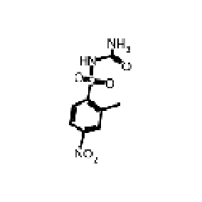 Cc1cc([N+](=O)[O-])ccc1S(=O)(=O)NC(N)=O